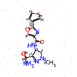 CN1CC(NC(=O)c2coc(-c3ccsc3)n2)C(C(N)=O)=N1